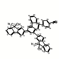 CC1(C)c2ccccc2-c2ccc(-c3cc(-c4ccc5c(c4)C(C)(C)c4ccccc4-5)c4cc(-c5ccc(C#N)cc5)c5ccccc5c4n3)cc21